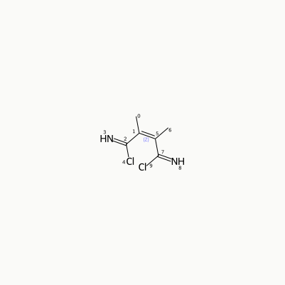 C/C(C(=N)Cl)=C(\C)C(=N)Cl